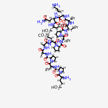 CC(C)C[C@H](NC(=O)[C@@H]1CCCN1C(=O)[C@@H](NC(=O)[C@@H]1CCCN1C(=O)[C@H](CCC(=O)O)NC(=O)[C@H](C)NC(=O)[C@H](C)NC(=O)[C@@H]1CCCN1C(=O)[C@@H](NC(=O)[C@@H]1CCCN1C(=O)[C@@H](N)CCC(=O)O)C(C)C)C(C)C)C(=O)N[C@H](C(=O)N[C@@H](CCCCN)C(=O)N[C@@H](CCC(N)=O)C(=O)N[C@@H](CC(=O)O)C(=O)O)C(C)C